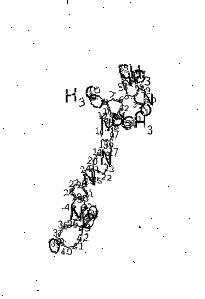 COc1cc2c(-c3cc(OC)c(CN4CCC(CN5CCC6(CC5)CN(c5ccc7c(c5)C(=O)N(C5CCC(=O)CCCC5=O)C7)C6)CC4)c(OC)c3)cn(C)c(=O)c2cn1